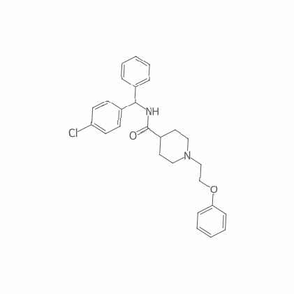 O=C(NC(c1ccccc1)c1ccc(Cl)cc1)C1CCN(CCOc2ccccc2)CC1